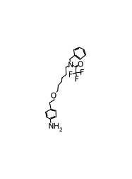 Nc1ccc(CCOCCCCCCN(Cc2ccccc2)C(=O)C(F)(F)F)cc1